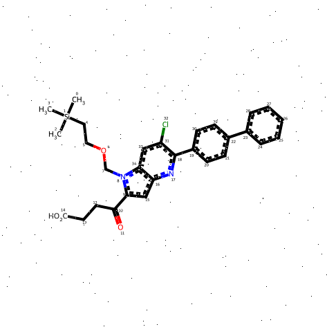 C[Si](C)(C)CCOCn1c(C(=O)CCC(=O)O)cc2nc(-c3ccc(-c4ccccc4)cc3)c(Cl)cc21